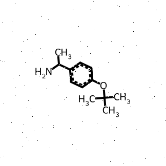 CC(N)c1ccc(OC(C)(C)C)cc1